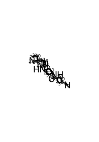 N#Cc1ccc(C(=O)Nc2ccc(Nc3nccc(-c4cccnc4)n3)cc2)cc1